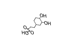 O=S(=O)(O)CCC1CCC(O)C(O)C1